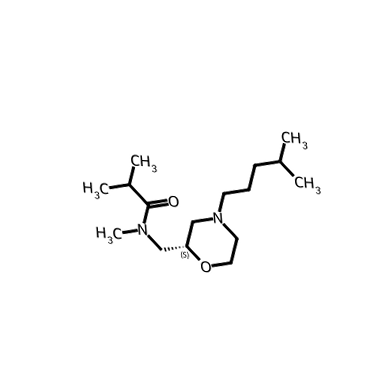 CC(C)CCCN1CCO[C@H](CN(C)C(=O)C(C)C)C1